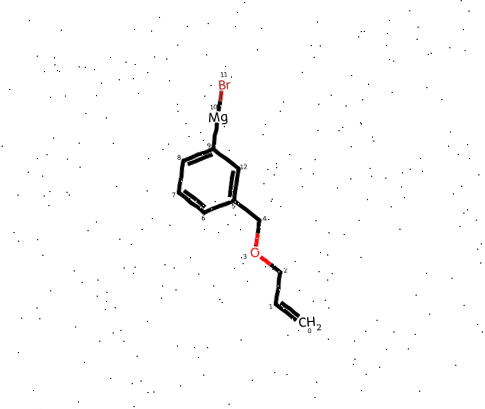 C=CCOCc1ccc[c]([Mg][Br])c1